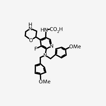 COc1ccc(CN(Cc2ccc(OC)cc2)c2ncc(NC(=O)O)c(C3CNCCO3)c2F)cc1